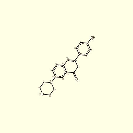 O=C1CC(c2ccc(O)cc2)=Nc2ccc(N3CCOCC3)cc21